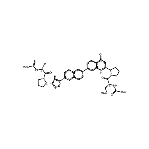 COC[C@H](NC(=O)OC)C(=O)N1CCCC1c1cc(=O)c2ccc(-c3ccc4cc(-c5cnc([C@@H]6CCCN6C(=O)[C@@H](NC(=O)OC)C(C)C)[nH]5)ccc4c3)cc2[nH]1